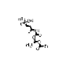 CCCCP(=O)(O)CCC(F)NC(=O)OC(C)OC(=O)C(C)C